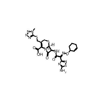 Cn1nnnc1SCC1=C(C(=O)O)N2C(=O)C(NC(=O)C(=NOC3C=CCCC3)c3nsc(N)n3)[C@@H]2SC1